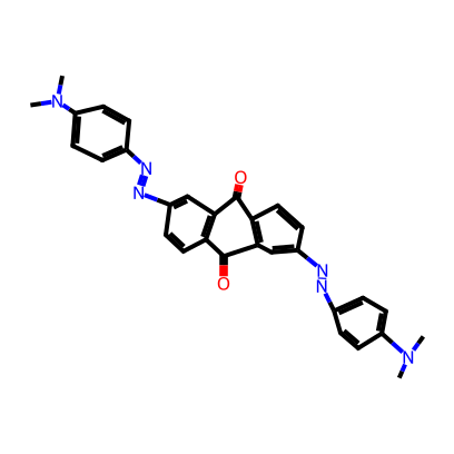 CN(C)c1ccc(N=Nc2ccc3c(c2)C(=O)c2ccc(N=Nc4ccc(N(C)C)cc4)cc2C3=O)cc1